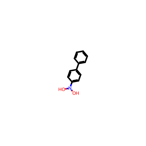 ON(O)c1ccc(-c2ccccc2)cc1